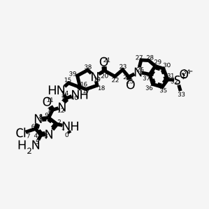 CNc1nc(N)c(Cl)nc1C(=O)/N=C1\NCC2(CCN(C(=O)CCC(=O)N3CCc4cc([S+](C)[O-])ccc43)CC2)N1